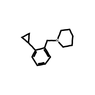 c1ccc(C2CC2)c(CN2CCCCC2)c1